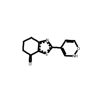 O=C1CCCc2nc(C3=CNOC=C3)sc21